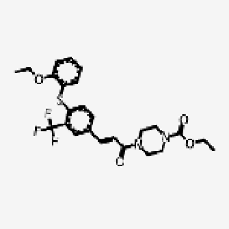 CCOC(=O)N1CCN(C(=O)C=Cc2ccc(Sc3ccccc3OCC)c(C(F)(F)F)c2)CC1